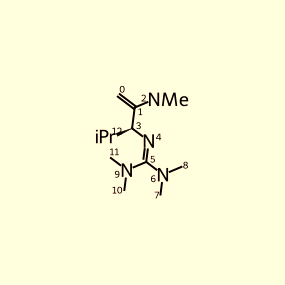 C=C(NC)[C@@H](N=C(N(C)C)N(C)C)C(C)C